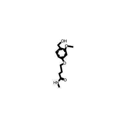 CNC(=O)CCCOc1ccc(CO)c(OC)c1